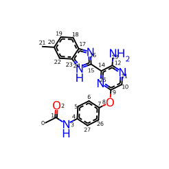 CC(=O)Nc1ccc(Oc2cnc(N)c(-c3nc4ccc(C)cc4[nH]3)n2)cc1